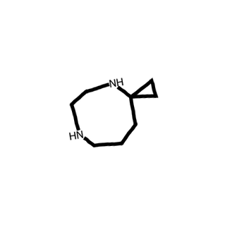 C1CNCCNC2(C1)CC2